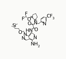 C[Si](C)(C)CCOCn1ncc2c(N)ncc(NC(=O)C(=O)N(Cc3ccc(C(F)(F)F)cn3)[C@@H]3CCC[C@H]3OC(F)F)c21